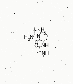 CN[C@@H](C)C(=O)N[C@H]1CCS[C@H]2CC(C)(C)[C@@H](N)N2C1=O